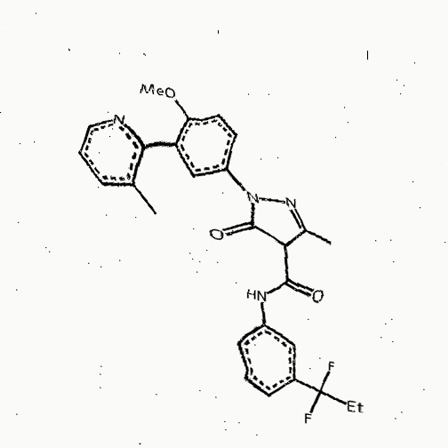 CCC(F)(F)c1cccc(NC(=O)C2C(=O)N(c3ccc(OC)c(-c4ncccc4C)c3)N=C2C)c1